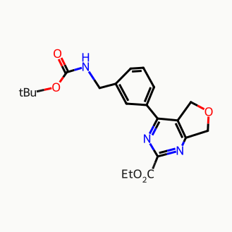 CCOC(=O)c1nc2c(c(-c3cccc(CNC(=O)OC(C)(C)C)c3)n1)COC2